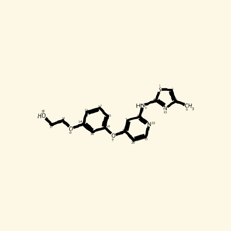 Cc1csc(Nc2cc(Oc3cccc(OCCO)c3)ccn2)n1